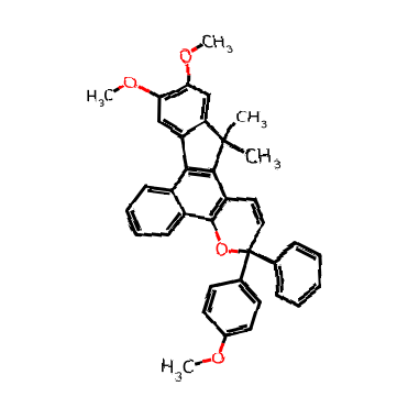 COc1ccc(C2(c3ccccc3)C=Cc3c4c(c5ccccc5c3O2)-c2cc(OC)c(OC)cc2C4(C)C)cc1